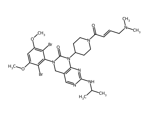 COc1cc(OC)c(Br)c(N2Cc3cnc(NC(C)C)nc3N(C3CCN(C(=O)/C=C/CN(C)C)CC3)C2=O)c1Br